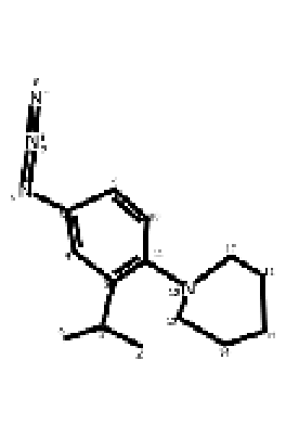 CC(C)c1cc(N=[N+]=[N-])ccc1N1CCCCC1